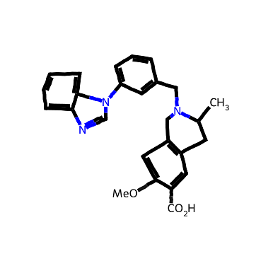 COc1cc2c(cc1C(=O)O)CC(C)N(Cc1cccc(-n3cnc4ccccc43)c1)C2